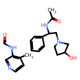 CC(=O)NC(CN1CCC(O)C1)c1ccccc1.Cc1ccncc1NC=O